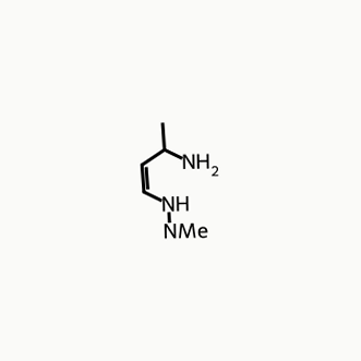 CNN/C=C\C(C)N